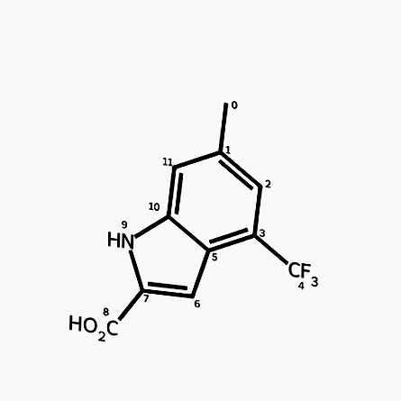 Cc1cc(C(F)(F)F)c2cc(C(=O)O)[nH]c2c1